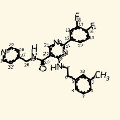 Cc1cccc(CCNc2nc(-c3ccc(F)c(F)c3)ncc2C(=O)NCc2ccncc2)c1